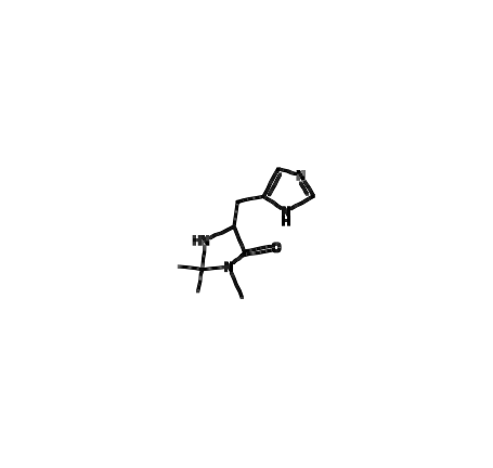 CN1C(=O)C(Cc2cnc[nH]2)NC1(C)C